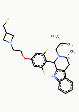 C[C@H](CN1C(c2c(F)cc(OCCN3CC(CF)C3)cc2F)c2[nH]c3ccccc3c2C[C@H]1C)C(=O)O